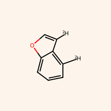 [2H]c1cccc2occ([2H])c12